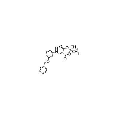 CC1(C)OC(=O)C(=CNc2cccc(OCc3ccccc3)c2)C(=O)O1